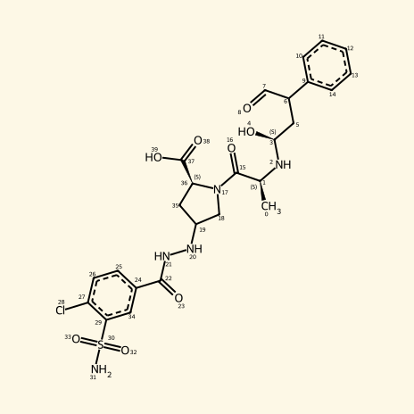 C[C@H](N[C@@H](O)CC(C=O)c1ccccc1)C(=O)N1CC(NNC(=O)c2ccc(Cl)c(S(N)(=O)=O)c2)C[C@H]1C(=O)O